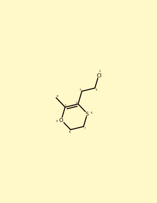 CC1=C(CCCl)SCCO1